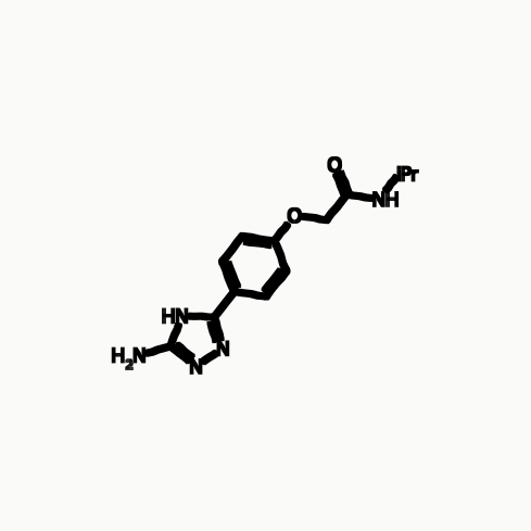 CC(C)NC(=O)COc1ccc(-c2nnc(N)[nH]2)cc1